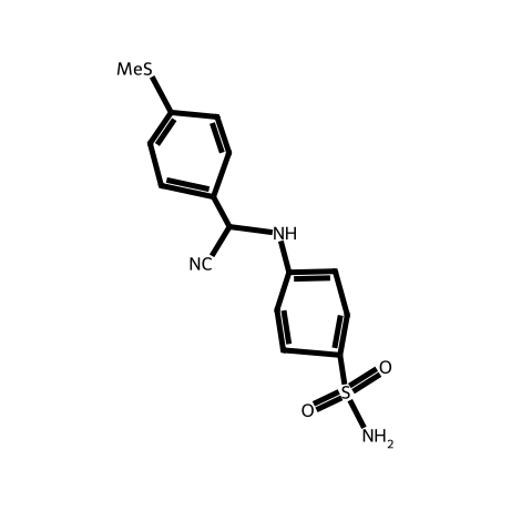 CSc1ccc(C(C#N)Nc2ccc(S(N)(=O)=O)cc2)cc1